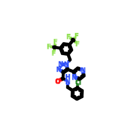 O=C(NCc1ccccc1Cl)c1nnn(Cc2cc(C(F)(F)F)cc(C(F)(F)F)c2)c1-c1cnccn1